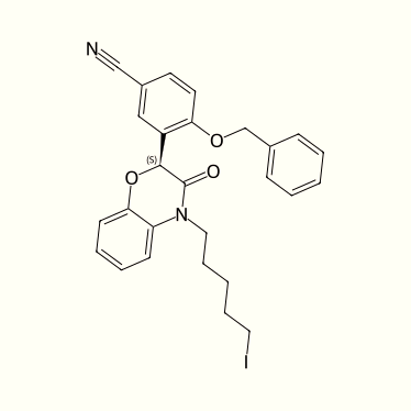 N#Cc1ccc(OCc2ccccc2)c([C@@H]2Oc3ccccc3N(CCCCCI)C2=O)c1